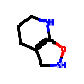 C1CNC2=C(C1)CNO2